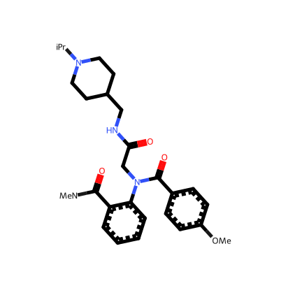 CNC(=O)c1ccccc1N(CC(=O)NCC1CCN(C(C)C)CC1)C(=O)c1ccc(OC)cc1